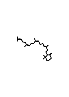 C=C1CCCC(C)(C)C1CCC(C)=CCCC=C(C)CCC=C(C)CCC=C(C)C